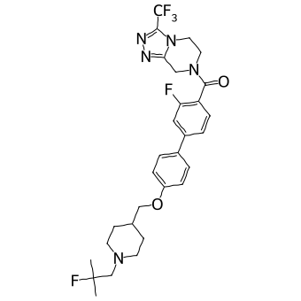 CC(C)(F)CN1CCC(COc2ccc(-c3ccc(C(=O)N4CCn5c(nnc5C(F)(F)F)C4)c(F)c3)cc2)CC1